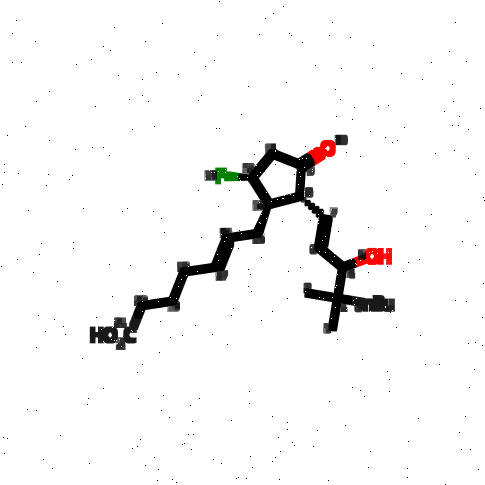 CCCCC(C)(C)C(O)C=C[C@H]1C(=O)C[C@H](F)[C@@H]1CC=CCCCC(=O)O